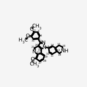 COc1ccc(-c2nn(-c3ccc4c(c3)CCNC4)c3c2cnc2c(OC)cccc23)cc1OC